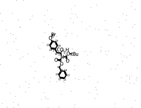 CC(C)(C)OC(=O)N(C(=O)OCc1ccccc1)[C@@H](Cc1ccc(OBr)cc1)C(=O)O